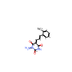 N#Cc1ccccc1/C=C/C=C1\C(=O)NC(=O)N(N)C1=O